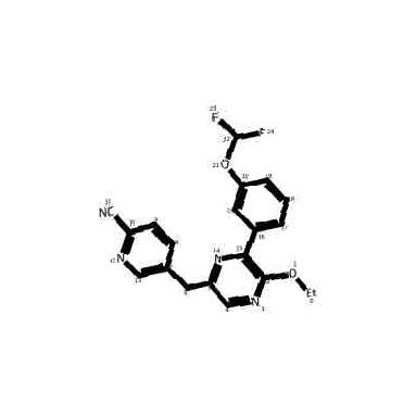 CCOc1ncc(Cc2ccc(C#N)nc2)nc1-c1cccc(OC(F)F)c1